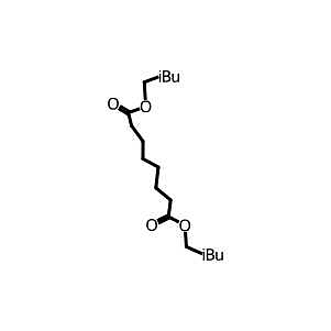 CCC(C)COC(=O)CCCCCCC(=O)OCC(C)CC